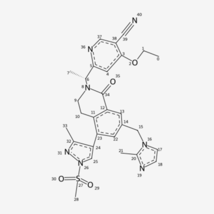 CCOc1cc([C@@H](C)N2CCc3c(cc(Cn4ccnc4C)cc3-c3cn(S(C)(=O)=O)nc3C)C2=O)ncc1C#N